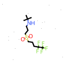 CC(C)(C)NCCCS(=O)(=O)CCCC(F)(F)C(F)(F)F